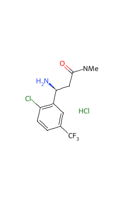 CNC(=O)C[C@H](N)c1cc(C(F)(F)F)ccc1Cl.Cl